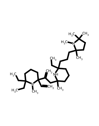 C=CC1(C(=C)CC2(C)CCCC(CC)(CCCC3(C)CCC(C)(C)N3C)N2)CCCC(CC)(CC)N1C